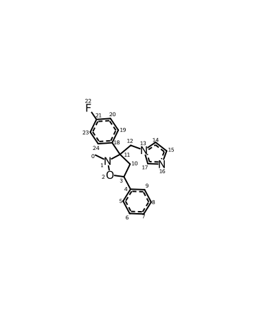 CN1OC(c2ccccc2)CC1(Cn1ccnc1)c1ccc(F)cc1